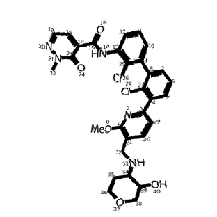 COc1nc(-c2cccc(-c3cccc(NC(=O)c4ccnn(C)c4=O)c3Cl)c2Cl)ccc1CNC1CCOCC1O